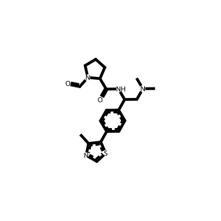 Cc1ncsc1-c1ccc(C(CN(C)C)NC(=O)C2CCCN2C=O)cc1